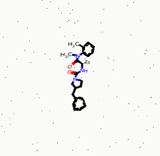 CC[C@H](NC(=O)N1CCC(Cc2ccccc2)C1)C(=O)N(C)c1ccccc1C